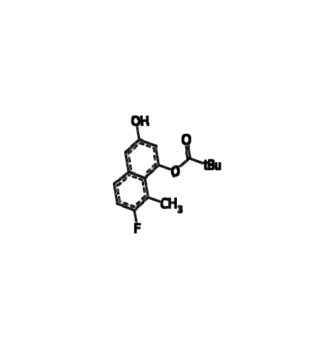 Cc1c(F)ccc2cc(O)cc(OC(=O)C(C)(C)C)c12